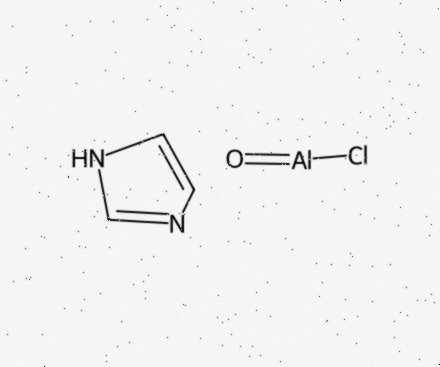 [O]=[Al][Cl].c1c[nH]cn1